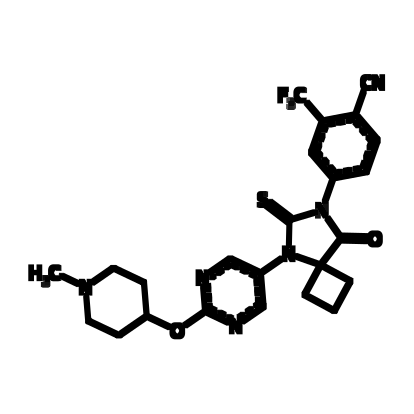 CN1CCC(Oc2ncc(N3C(=S)N(c4ccc(C#N)c(C(F)(F)F)c4)C(=O)C34CCC4)cn2)CC1